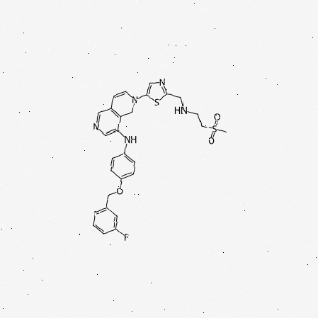 CS(=O)(=O)CCNCc1ncc(N2C=Cc3cncc(Nc4ccc(OCc5cccc(F)c5)cc4)c3C2)s1